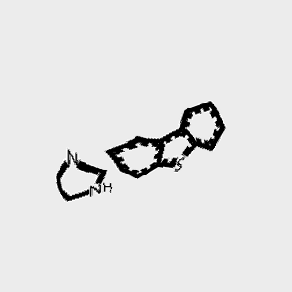 C1=NCCN1.c1ccc2c(c1)sc1ccccc12